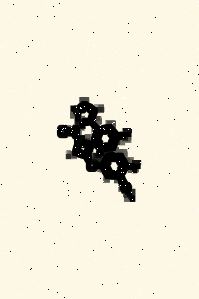 N#Cc1cc(OC2CN(C(=O)N3N=CC[C@H]3c3cc(F)cc(F)c3)C2)ccc1F